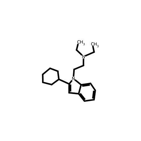 CCN(CC)CCn1c(C2CCCCC2)cc2ccccc21